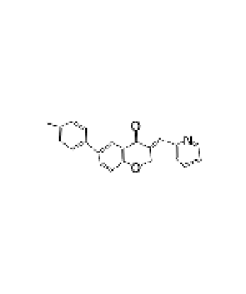 Cc1ccc(-c2ccc3c(c2)C(=O)/C(=C/c2ccccn2)CO3)cc1